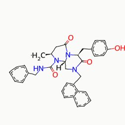 [CH2][C@H]1CC(=O)N2[C@H](CN(Cc3cccc4ccccc34)C(=O)[C@@H]2Cc2ccc(O)cc2)N1C(=O)NCc1ccccc1